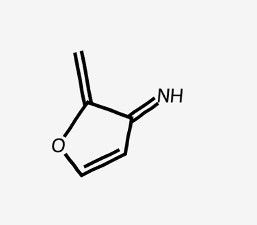 C=C1OC=CC1=N